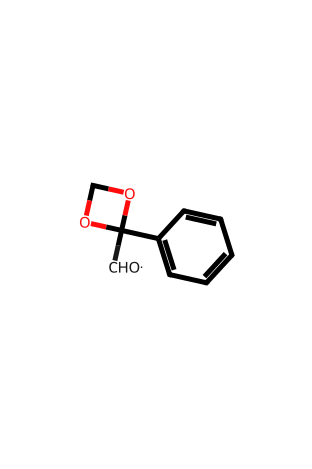 O=[C]C1(c2ccccc2)OCO1